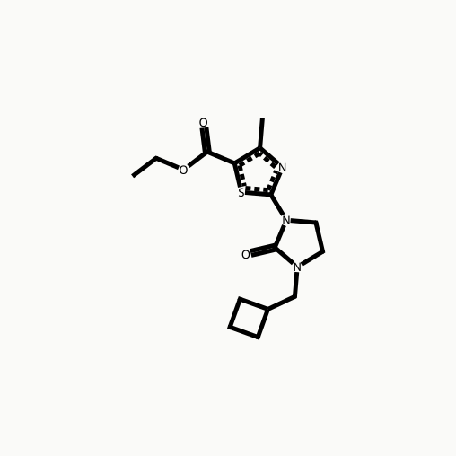 CCOC(=O)c1sc(N2CCN(CC3CCC3)C2=O)nc1C